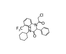 O=C(NC1CCCCC1)C(c1ccccc1)N(C(=O)CCl)c1cccc(C(F)(F)F)c1